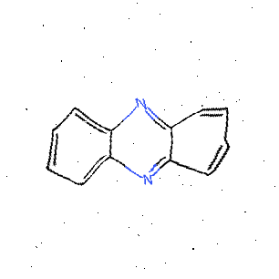 [c]1cccc2nc3ccccc3nc12